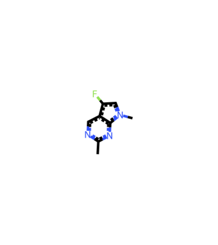 Cc1ncc2c(F)cn(C)c2n1